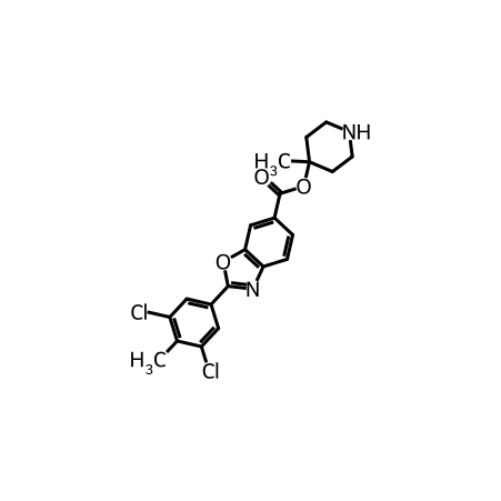 Cc1c(Cl)cc(-c2nc3ccc(C(=O)OC4(C)CCNCC4)cc3o2)cc1Cl